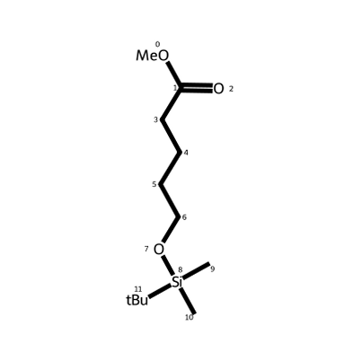 COC(=O)CCCCO[Si](C)(C)C(C)(C)C